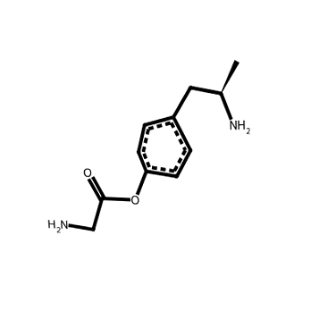 C[C@@H](N)Cc1ccc(OC(=O)CN)cc1